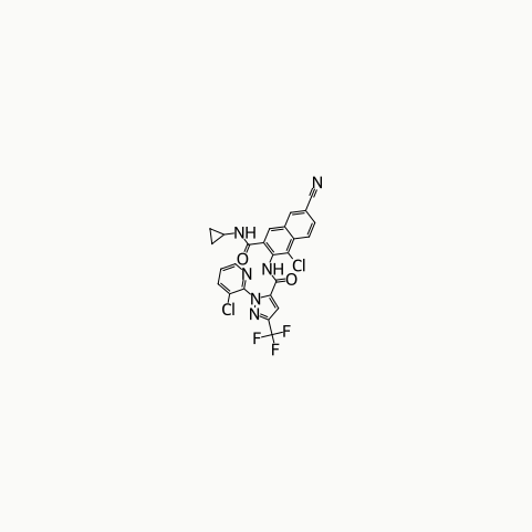 N#Cc1ccc2c(Cl)c(NC(=O)c3cc(C(F)(F)F)nn3-c3ncccc3Cl)c(C(=O)NC3CC3)cc2c1